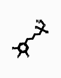 CCC(CC)(CCCCc1cc(F)c(F)c(F)c1)O[SiH3]